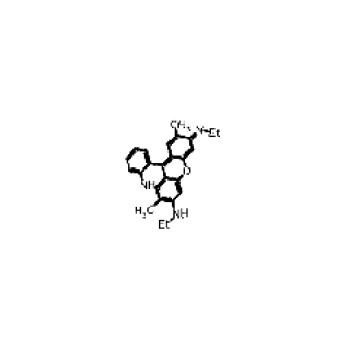 CCN=c1cc2oc3cc(NCC)c(C)cc3c(-c3ccccc3N)c-2cc1C